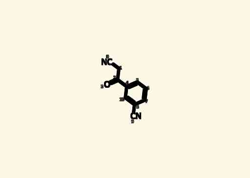 N#CCC(=O)c1cccc(C#N)c1